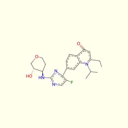 CCc1cc(=O)c2ccc(-c3nc(N[C@@H]4CCOC[C@H]4O)ncc3F)cc2n1C(C)C